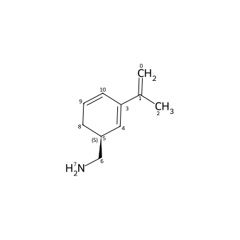 C=C(C)C1=C[C@@H](CN)CC=C1